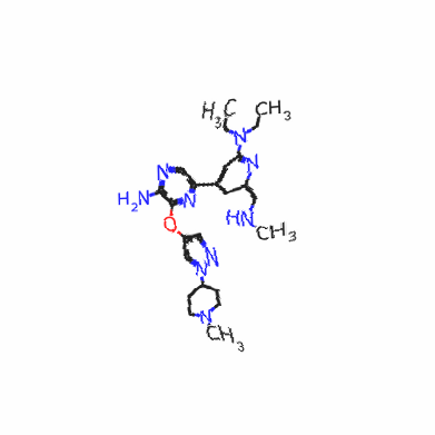 CCN(CC)C1=NC(CNC)CC(c2cnc(N)c(Oc3cnn(C4CCN(C)CC4)c3)n2)=C1